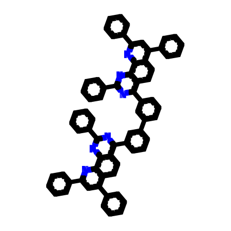 c1ccc(-c2cc(-c3ccccc3)c3ccc4c(-c5cccc(-c6cccc(-c7nc(-c8ccccc8)nc8c7ccc7c(-c9ccccc9)cc(-c9ccccc9)nc78)c6)c5)nc(-c5ccccc5)nc4c3n2)cc1